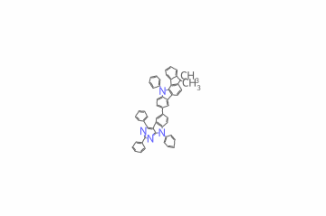 CC1(C)c2ccccc2-c2c1ccc1c3cc(-c4ccc5c(c4)c4c(-c6ccccc6)nc(-c6ccccc6)nc4n5-c4ccccc4)ccc3n(-c3ccccc3)c21